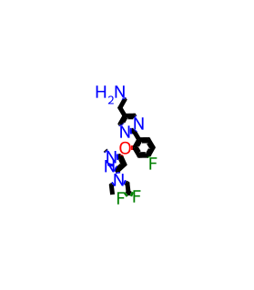 CCN(CC(F)F)c1cc(Oc2cc(F)ccc2-c2ncc(CCN)cn2)n(C)n1